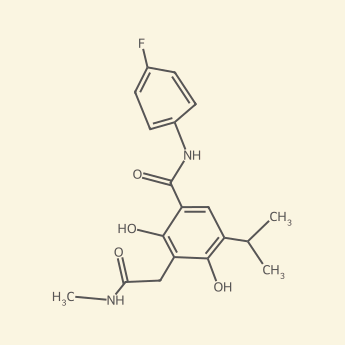 CNC(=O)Cc1c(O)c(C(=O)Nc2ccc(F)cc2)cc(C(C)C)c1O